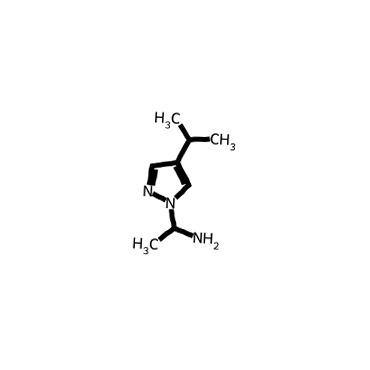 CC(C)c1cnn(C(C)N)c1